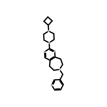 c1cncc(CN2CCc3cnc(N4CCN(C5CCC5)CC4)nc3CC2)c1